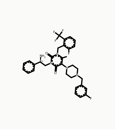 Cc1c(N2CCN(Cc3cccc(F)c3)CC2)c(=O)n(C[C@H](N)c2ccccc2)c(=O)n1Cc1c(F)cccc1C(F)(F)F